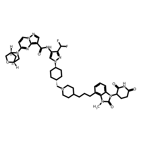 Cn1c(=O)n(C2CCC(=O)NC2=O)c2cccc(CCCC3CCN(C[C@H]4CC[C@H](n5cc(NC(=O)c6cnn7ccc(N8C[C@H]9C[C@@H]8CO9)nc67)c(C(F)F)n5)CC4)CC3)c21